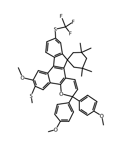 COc1ccc(C2(c3ccc(OC)cc3)C=Cc3c4c(c5cc(OC)c(SC)cc5c3O2)-c2ccc(SC(F)(F)F)cc2C42CC(C)(C)CC(C)(C)C2)cc1